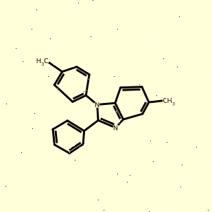 Cc1ccc(-n2c(-c3ccccc3)nc3cc(C)ccc32)cc1